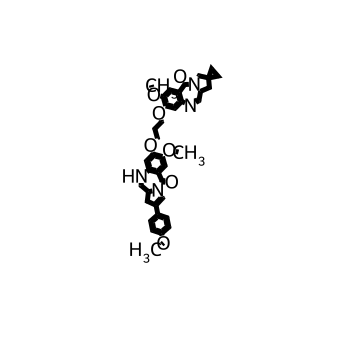 COc1ccc(C2=CN3C(=O)c4cc(OC)c(OCCCOc5cc6c(cc5OC)C(=O)N5CC7(CC7)CC5C=N6)cc4NCC3C2)cc1